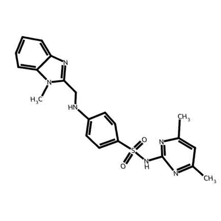 Cc1cc(C)nc(NS(=O)(=O)c2ccc(NCc3nc4ccccc4n3C)cc2)n1